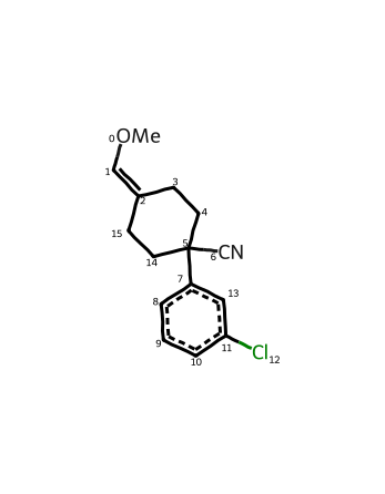 COC=C1CCC(C#N)(c2cccc(Cl)c2)CC1